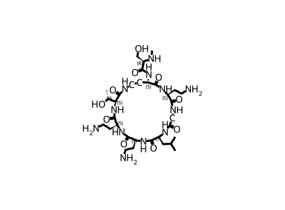 CN[C@H](CO)C(=O)N[C@H]1CCNC(=O)[C@H]([C@@H](C)O)NC(=O)[C@H](CCN)NC(=O)[C@H](CCN)NC(=O)[C@H](CC(C)C)NC(=O)CNC(=O)[C@H](CCN)NC1=O